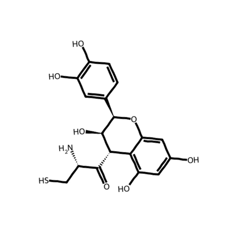 N[C@@H](CS)C(=O)[C@H]1c2c(O)cc(O)cc2O[C@H](c2ccc(O)c(O)c2)[C@@H]1O